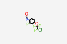 O=C=Nc1ccc(OC(F)(F)C(F)Cl)cc1F